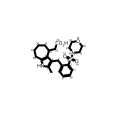 Cc1[nH]c2c(c1Cc1ccccc1S(=O)(=O)N1CCOCC1)C(CC(=O)O)CCCC2